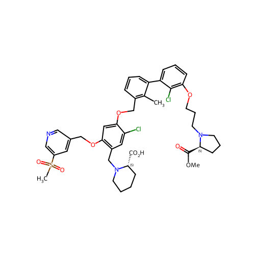 COC(=O)[C@@H]1CCCN1CCCOc1cccc(-c2cccc(COc3cc(OCc4cncc(S(C)(=O)=O)c4)c(CN4CCCC[C@H]4C(=O)O)cc3Cl)c2C)c1Cl